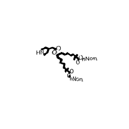 CCCCCCCCCOC(=O)C(C)(C)CCCCCC(CCCCCC(C)(C)C(=O)OCCCCCCCCC)OC(=O)CC1CCNCC1